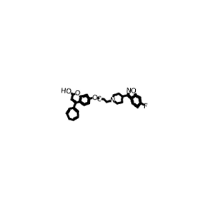 OC1C=C(C2=CC=CCC=C2)c2ccc(OCCCN3CCC(c4noc5cc(F)ccc45)CC3)cc2O1